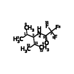 CC(C)C(NC(=O)C(F)(F)F)C(C)C